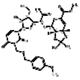 COC(=O)C1=C[C@@H]2OC(C)(C)O[C@@H]2[C@@H](O[C@@H](C(N)=O)[C@H]2O[C@@H](n3ccc(=O)n(COCc4ccc(OC)cc4)c3=O)[C@H](O)[C@@H]2CO)O1